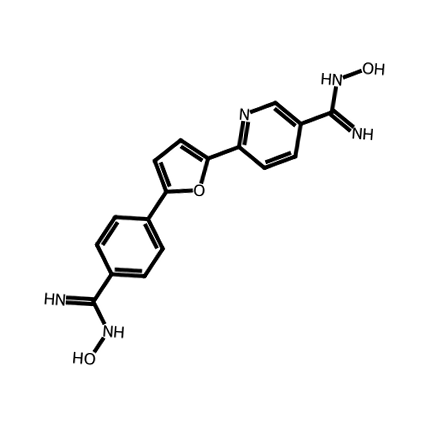 N=C(NO)c1ccc(-c2ccc(-c3ccc(C(=N)NO)cn3)o2)cc1